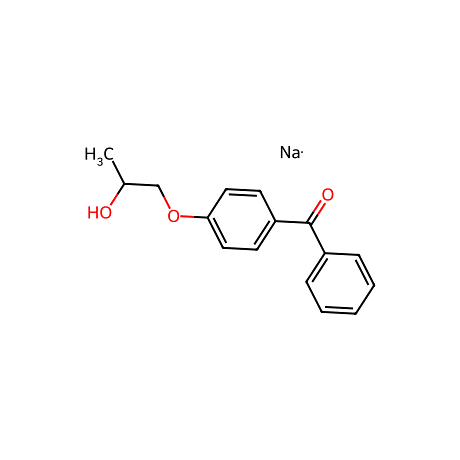 CC(O)COc1ccc(C(=O)c2ccccc2)cc1.[Na]